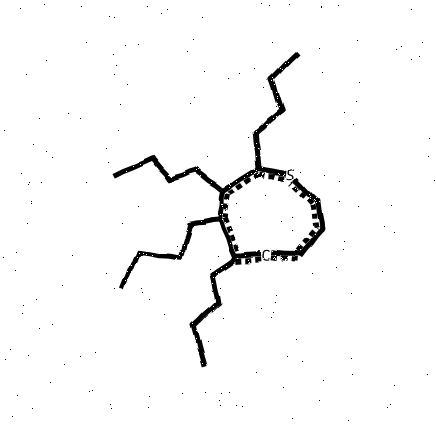 CCCCc1ccccsc(CCCC)c(CCCC)c1CCCC